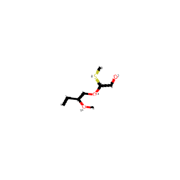 CCC(COC(C[O])SC)OC